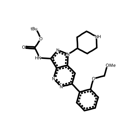 COCOc1ccccc1-c1cc2c(nn1)c(NC(=O)OC(C)(C)C)nn2C1CCNCC1